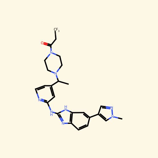 CC(c1ccnc(Nc2nc3ccc(-c4cnn(C)c4)cc3[nH]2)c1)N1CCN(C(=O)CC(F)(F)F)CC1